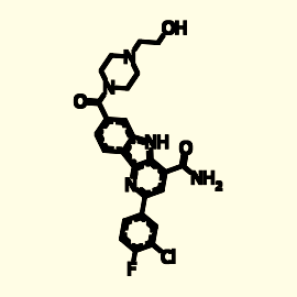 NC(=O)c1cc(-c2ccc(F)c(Cl)c2)nc2c1[nH]c1cc(C(=O)N3CCN(CCO)CC3)ccc12